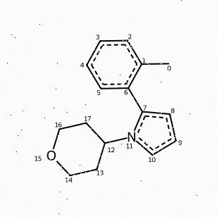 Cc1ccccc1-c1cccn1C1CCOCC1